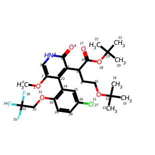 COc1c[nH]c(=O)c(C(CCOC(C)(C)C)C(=O)OC(C)(C)C)c1-c1cc(Cl)ccc1OCC(F)(F)F